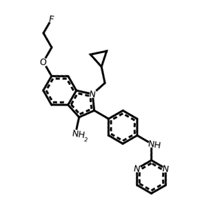 Nc1c(-c2ccc(Nc3ncccn3)cc2)n(CC2CC2)c2cc(OCCF)ccc12